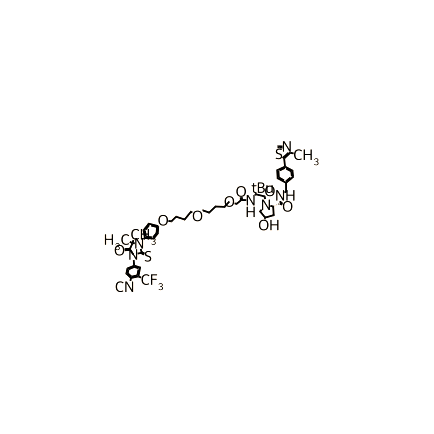 Cc1ncsc1-c1ccc(CNC(=O)[C@@H]2C[C@@H](O)CN2C(=O)[C@@H](NC(=O)COCCCCOCCCCOc2ccc(N3C(=S)N(c4ccc(C#N)c(C(F)(F)F)c4)C(=O)C3(C)C)cc2)C(C)(C)C)cc1